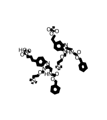 C[Si](C)(C)CCOCn1c(CNC(=O)OCc2ccccc2)nc2cc(CCOS(C)(=O)=O)ccc21.C[Si](C)(C)CCOCn1c(CNC(=O)OCc2ccccc2)nc2ccc(CCCS(=O)(=O)O)cc21